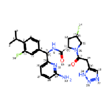 CC(C)c1ccc([C@@H](NC(=O)[C@@H]2C[C@@H](F)CN2C(=O)Cc2cnn[nH]2)c2cccc(N)n2)cc1F